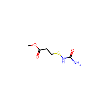 COC(=O)CCSNC(N)=O